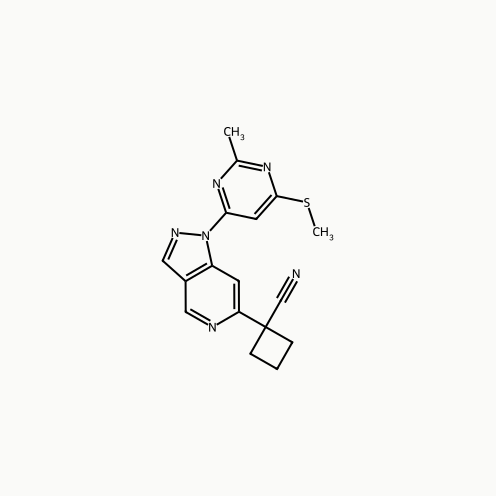 CSc1cc(-n2ncc3cnc(C4(C#N)CCC4)cc32)nc(C)n1